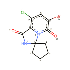 O=C1NC2(CCCC2)n2c1c(Cl)cc(Br)c2=O